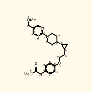 COCc1cnc(N2CCC([C@H]3C[C@H]3CCOc3ccc(CC(=O)OC)cc3)CC2)nc1